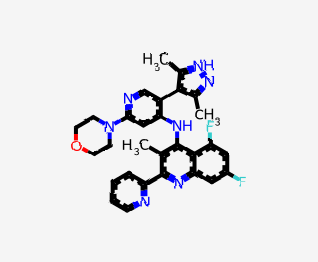 Cc1n[nH]c(C)c1-c1cnc(N2CCOCC2)cc1Nc1c(C)c(-c2ccccn2)nc2cc(F)cc(F)c12